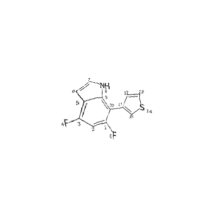 Fc1cc(F)c2cc[nH]c2c1-c1ccsc1